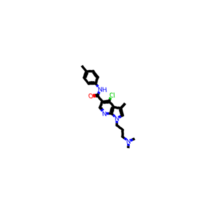 Cc1ccc(NC(=O)c2cnc3c(c(C)cn3CCCN(C)C)c2Cl)cc1